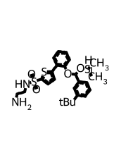 C[SiH](C)OC(Oc1ccccc1-c1ccc(S(=O)(=O)NCCN)s1)c1cccc(C(C)(C)C)c1